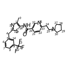 Cc1nc(Cc2cccc(C(F)(F)F)c2)sc1NC(=O)c1ccc(CCN2CCCC2)nc1